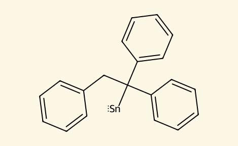 [Sn][C](Cc1ccccc1)(c1ccccc1)c1ccccc1